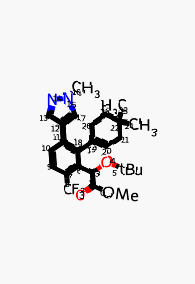 COC(=O)C(OC(C)(C)C)c1c(C(F)(F)F)ccc(-c2cnn(C)c2)c1C1=CCC(C)(C)CC1